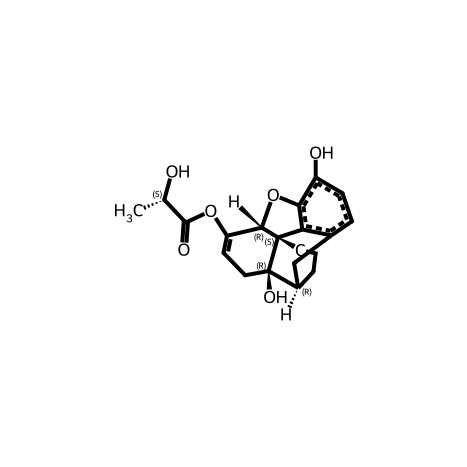 C[C@H](O)C(=O)OC1=CC[C@@]2(O)[C@@H]3CCC[C@@]24c2c(ccc(O)c2O[C@@H]14)C3